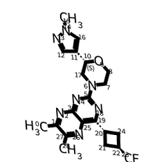 Cc1nc2nc(N3CCO[C@@H](c4cnn(C)c4)C3)nc([C@H]3C[C@H](C(F)(F)F)C3)c2nc1C